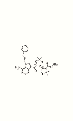 CC(C)(C)OC(=O)N1[C@@H]([C@H]2OC(C)(C)O[C@H]2C(=O)c2cn(COCc3ccccc3)c3c(N)ncnc23)COC1(C)C